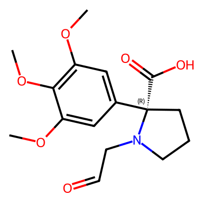 COc1cc([C@@]2(C(=O)O)CCCN2CC=O)cc(OC)c1OC